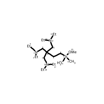 CCN(CC)CC(CC[Si](C)(C)OC)(CN(CC)CC)CN(CC)CC